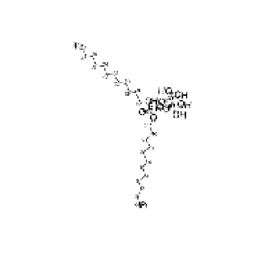 CC(C)CCCCCCCCCCCOP(=O)(O)OCCCCCCCCCCCC(C)C.OC(O)(O)C(O)(O)O